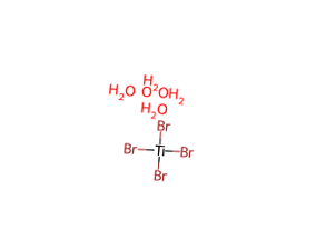 O.O.O.O.[Br][Ti]([Br])([Br])[Br]